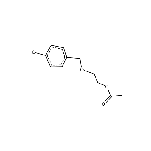 CC(=O)OCCOCc1ccc(O)cc1